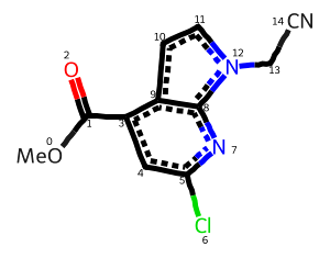 COC(=O)c1cc(Cl)nc2c1ccn2CC#N